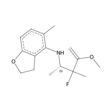 C=C(OC)C(C)(F)[C@H](C)Nc1c(C)ccc2c1CCO2